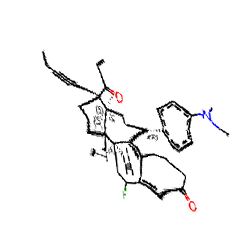 CC#C[C@]1(C(=O)CC)CC[C@H]2[C@@H]3CC(F)C4=CC(=O)CCC4=C3[C@@H](c3ccc(N(C)C)cc3)C[C@@]21C